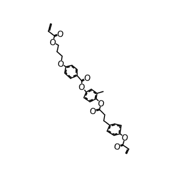 C=CC(=O)OCCCOc1ccc(C(=O)Oc2ccc(OC(=O)CCc3ccc(OC(=O)C=C)cc3)c(C)c2)cc1